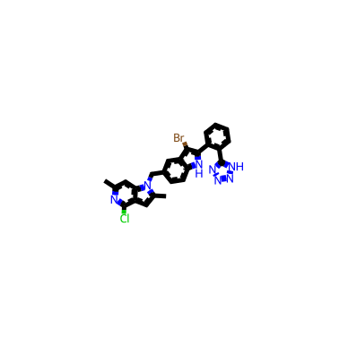 Cc1cc2c(cc(C)n2Cc2ccc3[nH]c(-c4ccccc4-c4nnn[nH]4)c(Br)c3c2)c(Cl)n1